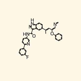 C=N/C=C(\C=C(/C)c1ccc2[nH]nc(C(=O)Nc3ccc(-c4cccc(F)c4)nc3)c2c1)Oc1ccccc1